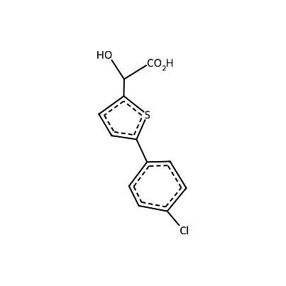 O=C(O)C(O)c1ccc(-c2ccc(Cl)cc2)s1